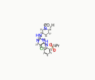 CC(C)S(=O)(=O)c1ccccc1Nc1nc(NC2CCCN(C(=O)O)C2)ncc1Cl